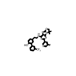 CC1(C)COc2nc3c(NCCc4ccc(O)c(-c5cccc(C(F)(F)F)c5)c4)nc(-c4cncc(F)c4)nc3n21